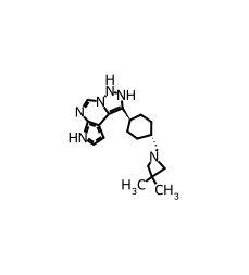 CC1(C)CN(C[C@H]2CC[C@H](C3=C4c5cc[nH]c5N=CN4NN3)CC2)C1